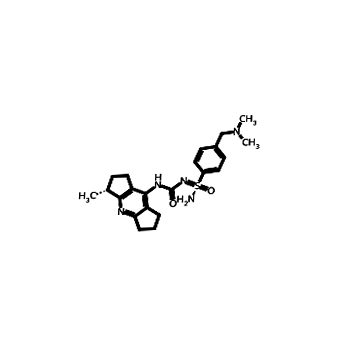 C[C@@H]1CCc2c1nc1c(c2NC(=O)N=[S@](N)(=O)c2ccc(CN(C)C)cc2)CCC1